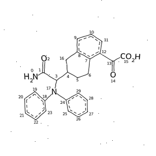 NC(=O)C(C1CCc2c(cccc2C(=O)C(=O)O)C1)N(c1ccccc1)c1ccccc1